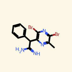 Cc1nc(C(C(=N)N)c2ccccc2)c(Br)nc1Br